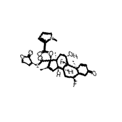 C[C@@H]1C[C@H]2[C@@H]3C[C@H](F)C4=CC(=O)C=C[C@]4(C)[C@@]3(F)[C@@H](O)C[C@]2(C)[C@@]1(OC(=O)c1cccn1C)C(=O)S[C@H]1CCOC1=O